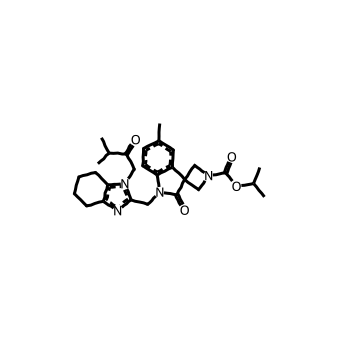 Cc1ccc2c(c1)C1(CN(C(=O)OC(C)C)C1)C(=O)N2Cc1nc2c(n1CC(=O)C(C)C)CCCC2